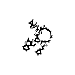 Cc1nc2ccccc2c2c1O[C@]1(CC2)C[C@H]2C(=O)N[C@]3(C(=O)NS(=O)(=O)C4(C)CC4)C[C@H]3C=CCCCCC[C@H](NCCC3CCCC3)C(=O)N2C1